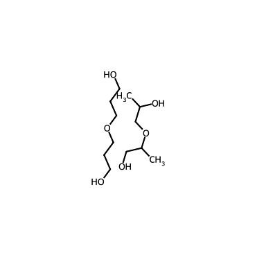 CC(O)COC(C)CO.OCCCOCCCO